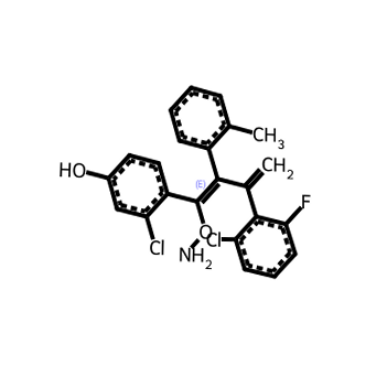 C=C(/C(=C(\ON)c1ccc(O)cc1Cl)c1ccccc1C)c1c(F)cccc1Cl